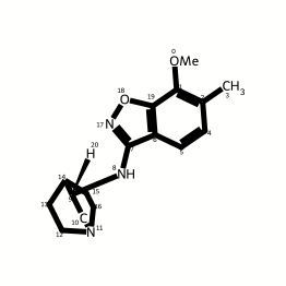 COc1c(C)ccc2c(N[C@@H]3CN4CCC3CC4)noc12